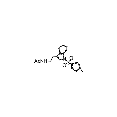 CC(=O)NCCc1cn(S(=O)(=O)c2ccc(C)cc2)c2ccccc12